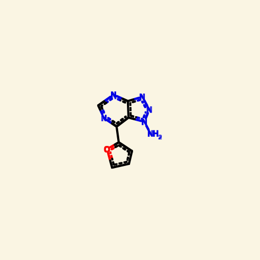 Nn1nnc2ncnc(-c3ccco3)c21